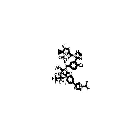 CC(C)(C[C@]1(c2ccc(-c3cn(C(F)F)cn3)cc2)NC(=N)N([C@H](COC(=O)NC2(C(F)F)CC2)c2ccc(Cl)c(-c3ncnn3C(F)F)c2)C1=O)C(F)(F)F